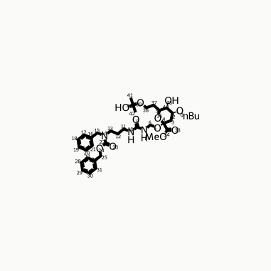 CCCCO[C@@H]1C[C@](OCNC(=O)NCCCN(Cc2ccccc2)C(=O)OCc2ccccc2)(C(=O)OC)OC(CCOC(C)(C)O)[C@@H]1O